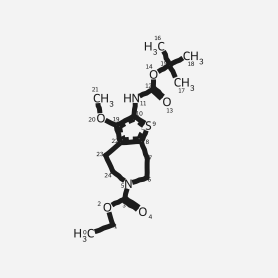 CCOC(=O)N1CCc2sc(NC(=O)OC(C)(C)C)c(OC)c2CC1